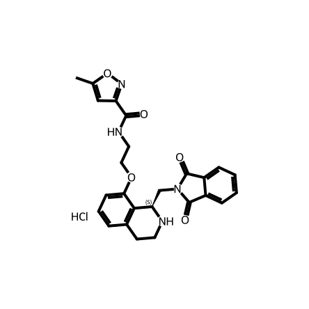 Cc1cc(C(=O)NCCOc2cccc3c2[C@@H](CN2C(=O)c4ccccc4C2=O)NCC3)no1.Cl